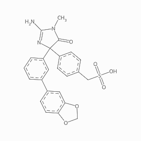 CN1C(=O)C(c2ccc(CS(=O)(=O)O)cc2)(c2cccc(-c3ccc4c(c3)OCO4)c2)N=C1N